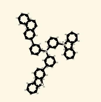 c1cc(-c2ccc3c(ccc4ccccc43)c2)cc(N(c2cccc(-c3ccc4c(c3)oc3ccccc34)c2)c2cccc(-n3c4ccccc4c4ccccc43)c2)c1